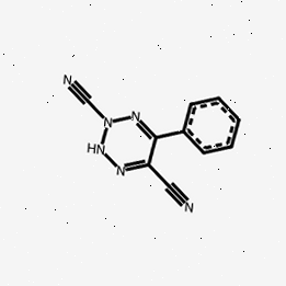 N#CC1=NNN(C#N)N=C1c1ccccc1